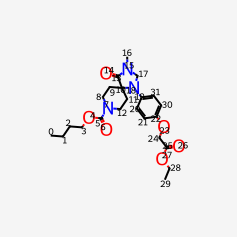 CCCCOC(=O)N1CCC2(CC1)C(=O)N(C)CN2c1ccc(OCC(=O)OCC)cc1